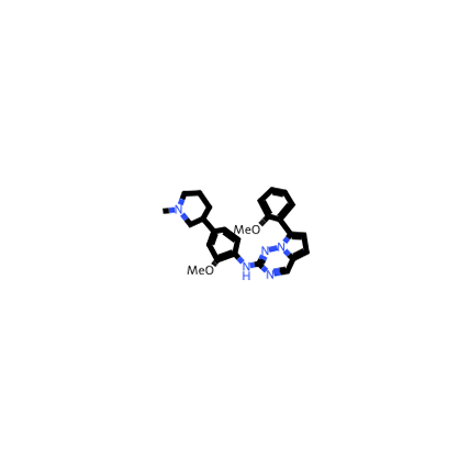 COc1cc(C2CCCN(C)C2)ccc1Nc1ncc2ccc(-c3ccccc3OC)n2n1